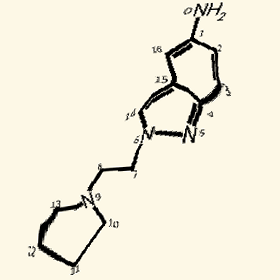 Nc1ccc2nn(CCN3CCCC3)cc2c1